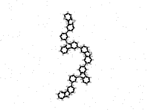 c1cc(-c2ccc3oc4cccnc4c3c2)cc(-n2c3ccccc3c3cc(-c4ccc5oc6ccc(-c7ccc8c(c7)c7ccccc7n8-c7cccc(-c8ccc9sc%10cccnc%10c9c8)c7)cc6c5c4)ccc32)c1